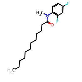 CCCCCCCCCCCC(=O)N(C)c1ccc(F)cc1F